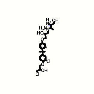 C/C(=C(/N)CO)N(N)CC(O)COc1ccc(C(C)(C)c2ccc(OCC(O)CCl)c(Cl)c2)cc1